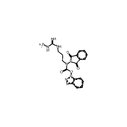 N=C(NP)NCCCN(C(=O)On1nnc2ccccc21)N1C(=O)c2ccccc2C1=O